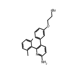 Cc1cccc(C)c1-c1nc(N)ccc1-c1cccc(OCCC(C)(C)C)c1